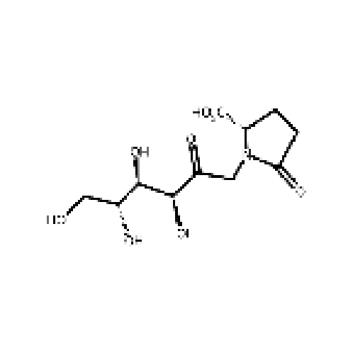 O=C(CN1C(=O)CC[C@H]1C(=O)O)[C@@H](O)[C@H](O)[C@H](O)CO